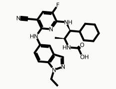 CCn1ncc2cc(Nc3nc(N[C@@H](C4CCCCC4)[C@H](C)NC(=O)O)c(F)cc3C#N)ccc21